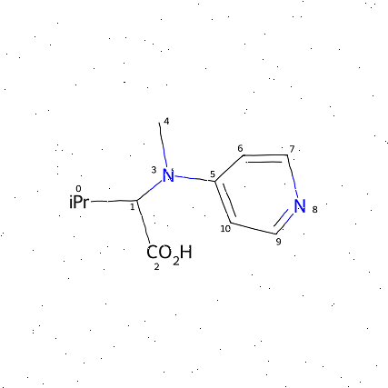 CC(C)C(C(=O)O)N(C)c1ccncc1